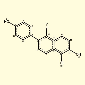 Oc1ccc(-c2ccc3c(Cl)c(O)ccc3c2Cl)cc1